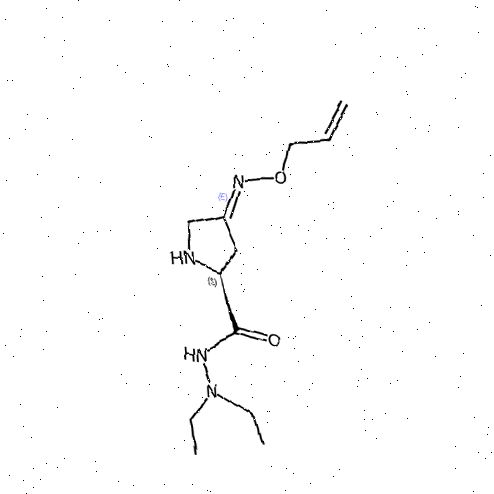 C=CCO/N=C1/CN[C@H](C(=O)NN(CC)CC)C1